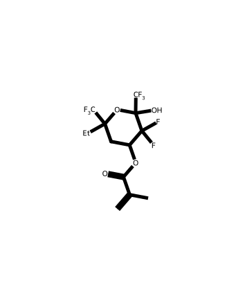 C=C(C)C(=O)OC1CC(CC)(C(F)(F)F)OC(O)(C(F)(F)F)C1(F)F